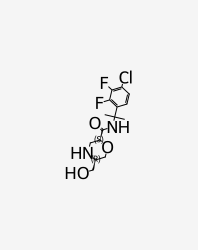 CC(C)(NC(=O)[C@@H]1CN[C@H](CO)CO1)c1ccc(Cl)c(F)c1F